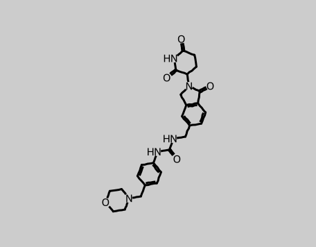 O=C1CCC(N2Cc3cc(CNC(=O)Nc4ccc(CN5CCOCC5)cc4)ccc3C2=O)C(=O)N1